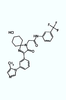 Cc1cncn1-c1cccc(C2=NC3(CCCCC3)N(CC(=O)Nc3cccc(C(F)(F)F)c3)C2=O)c1.Cl